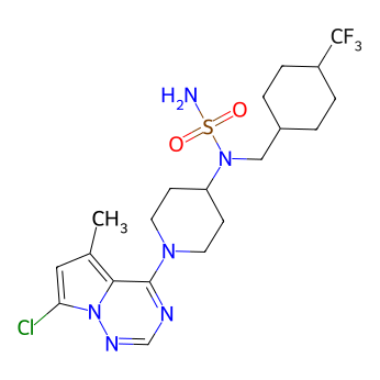 Cc1cc(Cl)n2ncnc(N3CCC(N(CC4CCC(C(F)(F)F)CC4)S(N)(=O)=O)CC3)c12